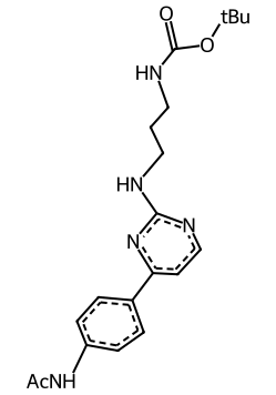 CC(=O)Nc1ccc(-c2ccnc(NCCCNC(=O)OC(C)(C)C)n2)cc1